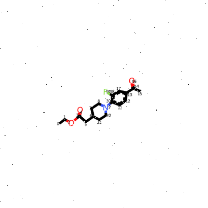 CCOC(=O)CC1CCN(c2ccc(C(C)=O)cc2F)CC1